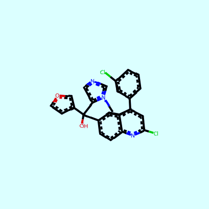 Cn1cncc1C(O)(c1ccoc1)c1ccc2nc(Cl)cc(-c3cccc(Cl)c3)c2c1